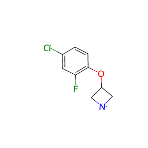 Fc1cc(Cl)ccc1OC1C[N]C1